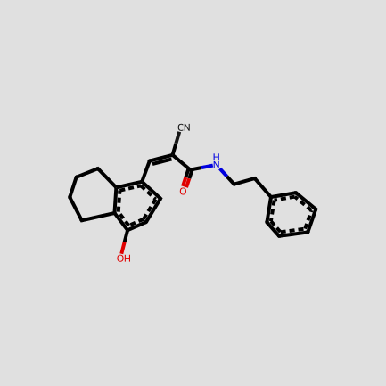 N#CC(=Cc1ccc(O)c2c1CCCC2)C(=O)NCCc1ccccc1